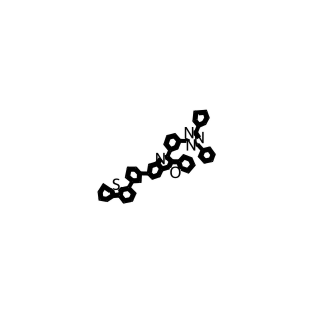 c1ccc(-c2nc(-c3ccccc3)nc(-c3cccc(-c4nc5cc(-c6cccc(-c7cccc8c7sc7ccccc78)c6)ccc5c5oc6ccccc6c45)c3)n2)cc1